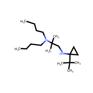 CCCCN(CCCC)C(C)(C)CNC1(C(C)(C)C)CC1